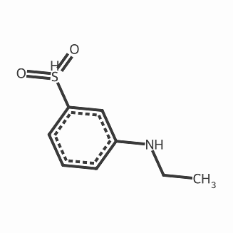 CCNc1cccc([SH](=O)=O)c1